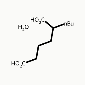 CCCCC(CCCC(=O)O)C(=O)O.O